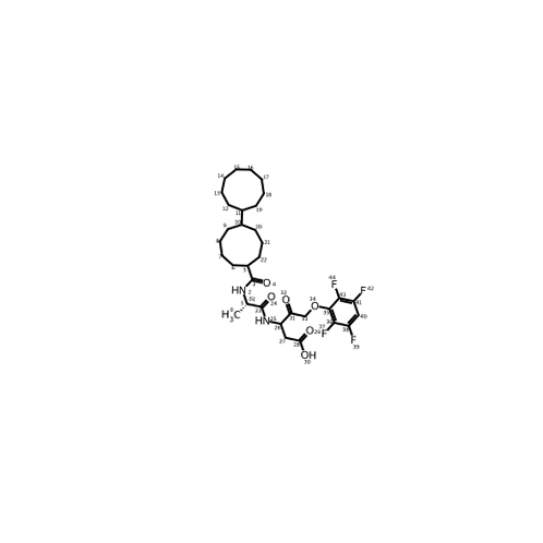 C[C@H](NC(=O)C1CCCCC(C2CCCCCCCC2)CCC1)C(=O)NC(CC(=O)O)C(=O)COc1c(F)c(F)cc(F)c1F